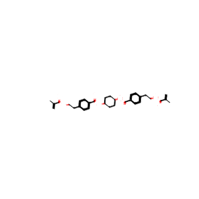 C=C(C)C(=O)OCCc1ccc(C(=O)OC2CCC(OC(=O)c3ccc(CCOC(=O)C(=C)C)cc3)CC2)cc1